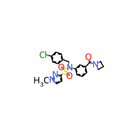 Cn1ccc(S(=O)(=O)N(Cc2ccc(Cl)cc2)c2cccc(C(=O)N3CCC3)c2)n1